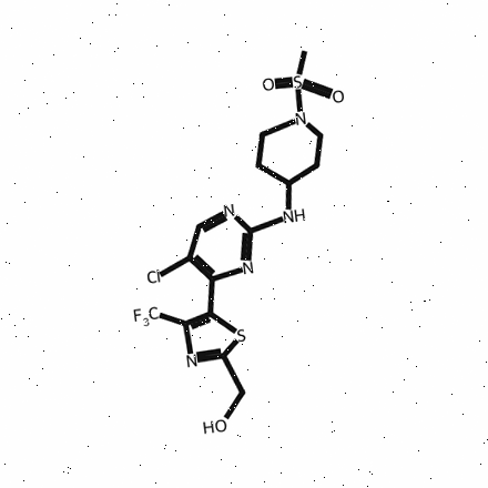 CS(=O)(=O)N1CCC(Nc2ncc(Cl)c(-c3sc(CO)nc3C(F)(F)F)n2)CC1